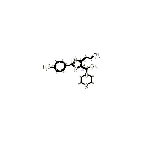 C=C/C=c1/[nH]c(-c2ccc(C)cc2)n/c1=C(/C)N1CCOCC1